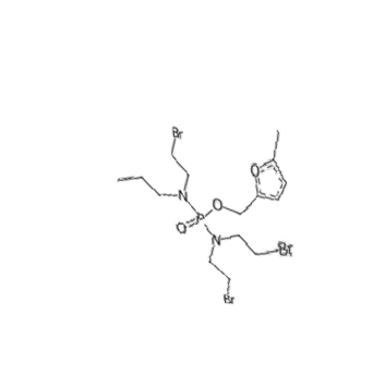 CCCN(CCBr)P(=O)(OCc1ccc(C)o1)N(CCBr)CCBr